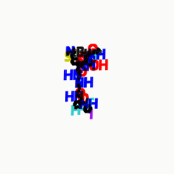 Cc1ncsc1-c1ccc([C@H](CC(=O)NCCNCCCONC(=O)c2ccc(F)c(F)c2Nc2ccc(I)cc2F)NC(=O)[C@@H]2C[C@@H](O)CN2C(=O)C(NC(=O)C2(F)CC2)C(C)(C)C)cc1